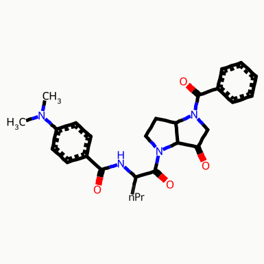 CCCC(NC(=O)c1ccc(N(C)C)cc1)C(=O)N1CCC2C1C(=O)CN2C(=O)c1ccccc1